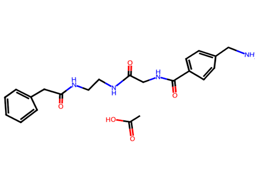 CC(=O)O.NCc1ccc(C(=O)NCC(=O)NCCNC(=O)Cc2ccccc2)cc1